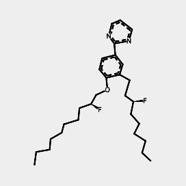 CCCCCCCC[C@H](F)COc1ccc(-c2ncccn2)cc1CC[C@@H](F)CCCCCC